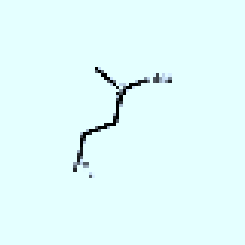 CCCC[Si](C)CCC(F)(F)F